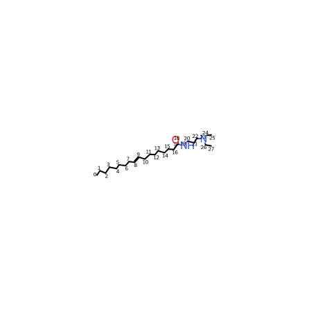 CCCCCCCCC=CCCCCCCCC(=O)NCCCN(CC)CC